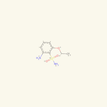 Nc1cccc(OCC(F)(F)F)c1S(N)(=O)=O